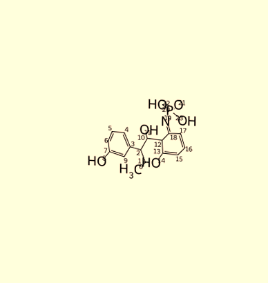 CCC(c1cccc(O)c1)C(O)C1C(O)=CC=CC1=NP(=O)(O)O